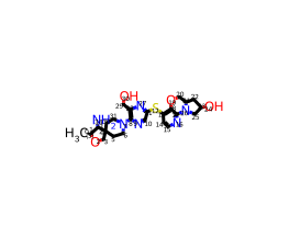 C[C@@H]1OCC2(CCN(c3ncc(Sc4ccnc5c4OCC4CC(O)CN54)nc3CO)CC2)C1N